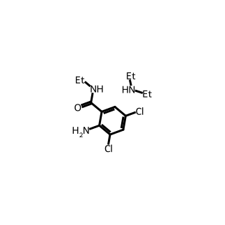 CCNC(=O)c1cc(Cl)cc(Cl)c1N.CCNCC